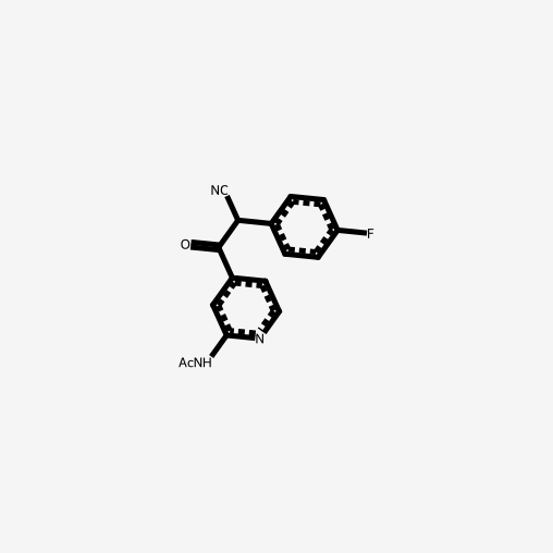 CC(=O)Nc1cc(C(=O)C(C#N)c2ccc(F)cc2)ccn1